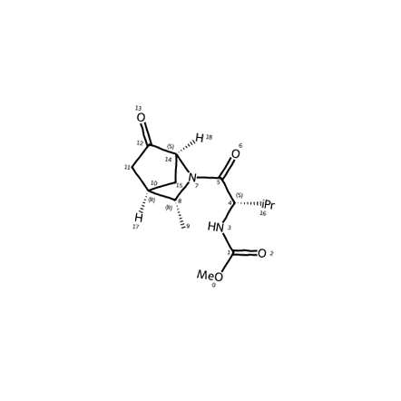 COC(=O)N[C@H](C(=O)N1[C@H](C)[C@H]2CC(=O)[C@@H]1C2)C(C)C